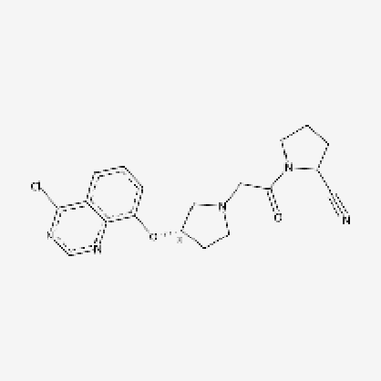 N#CC1CCCN1C(=O)CN1CC[C@H](Oc2cccc3c(Cl)ncnc23)C1